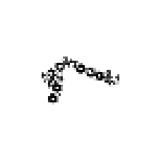 CN(CCC(=O)N1CCC([C@@H]2CCN/C(=C(/C(=N)c3ccc(Oc4ccccc4)cc3)C(N)=O)N2)CC1)Cc1ccc(N2CCN(c3ccc(N4CCC(=O)NC4=O)cc3)CC2)cc1